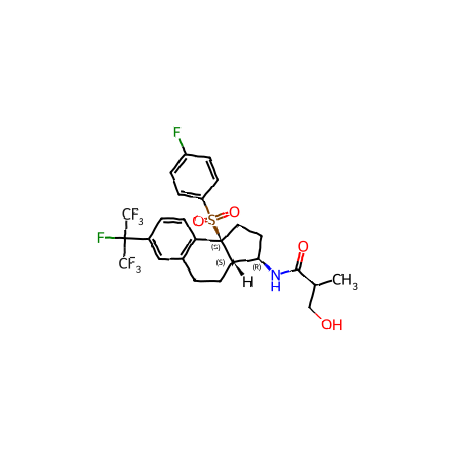 CC(CO)C(=O)N[C@@H]1CC[C@@]2(S(=O)(=O)c3ccc(F)cc3)c3ccc(C(F)(C(F)(F)F)C(F)(F)F)cc3CC[C@@H]12